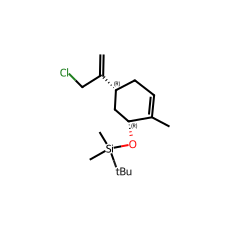 C=C(CCl)[C@@H]1CC=C(C)[C@H](O[Si](C)(C)C(C)(C)C)C1